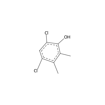 Cc1c(Cl)cc(Cl)c(O)c1C